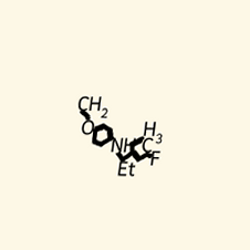 C=CCOC1=CC=C(NCC(CC)C(/C=C\C)=C/CF)CC1